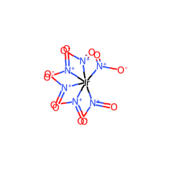 O=[N+]([O-])[Ir]([N+](=O)[O-])([N+](=O)[O-])([N+](=O)[O-])([N+](=O)[O-])[N+](=O)[O-]